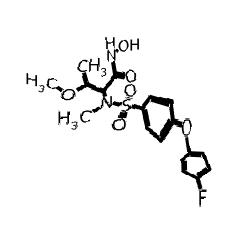 COC(C)C(C(=O)NO)N(C)S(=O)(=O)c1ccc(Oc2ccc(F)cc2)cc1